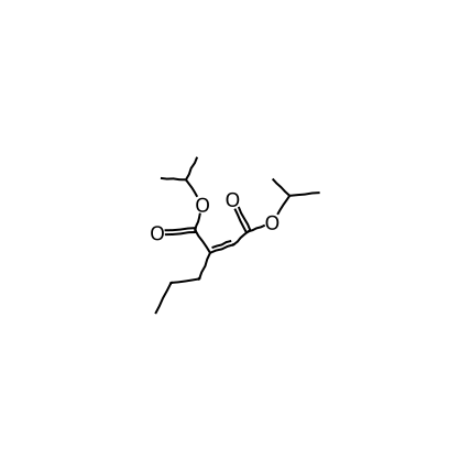 CCCC(=CC(=O)OC(C)C)C(=O)OC(C)C